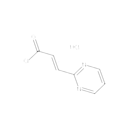 Cl.O=C(Cl)/C=C/c1ncccn1